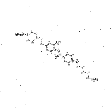 CCCCC[C@H]1CC[C@H](CCc2ccc(OC(=O)c3ccc(OCCCCC[C@@H](C)CC)cc3)c(C#N)c2)CC1